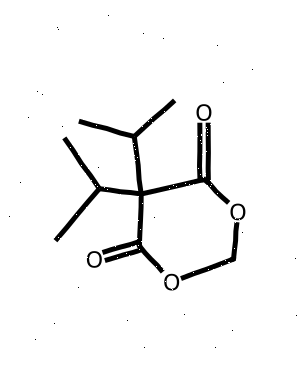 CC(C)C1(C(C)C)C(=O)OCOC1=O